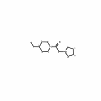 CCC1CCN(C(=O)CN2CCCC2)CC1